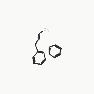 C/C=C/Cc1ccccc1.c1ccccc1